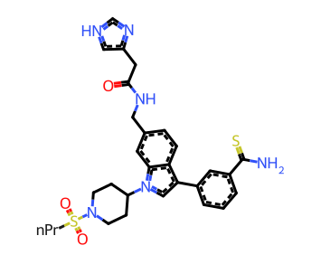 CCCS(=O)(=O)N1CCC(n2cc(-c3cccc(C(N)=S)c3)c3ccc(CNC(=O)Cc4c[nH]cn4)cc32)CC1